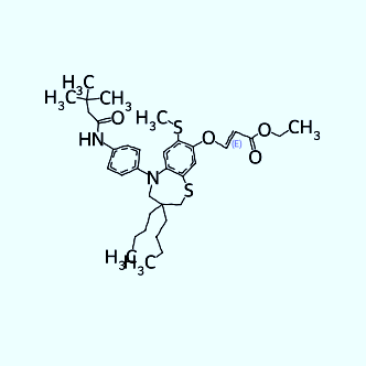 CCCCC1(CCCC)CSc2cc(O/C=C/C(=O)OCC)c(SC)cc2N(c2ccc(NC(=O)CC(C)(C)C)cc2)C1